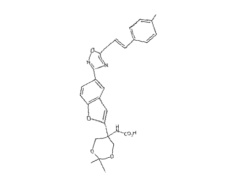 Cc1ccc(C=Cc2nc(-c3ccc4oc(C5(NC(=O)O)COC(C)(C)OC5)cc4c3)no2)cc1